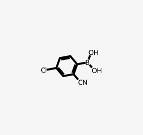 N#Cc1cc(Cl)ccc1B(O)O